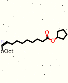 CCCCCCCC/C=C\CCCCCCCC(=O)OC1CCCC1